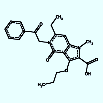 CCCOc1c(C(=O)O)n(C)c2cc(CC)n(CC(=O)c3ccccc3)c(=O)c12